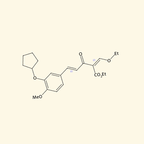 CCO/C=C(/C(=O)/C=C/c1ccc(OC)c(OC2CCCC2)c1)C(=O)OCC